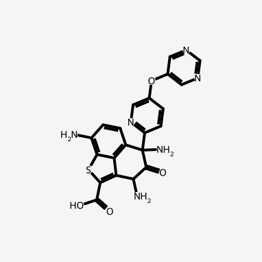 Nc1ccc2c3c(c(C(=O)O)sc13)C(N)C(=O)C2(N)c1ccc(Oc2cncnc2)cn1